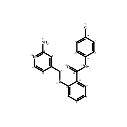 Nc1cc(CSc2ccccc2C(=O)Nc2ccc(Cl)cc2)ccn1